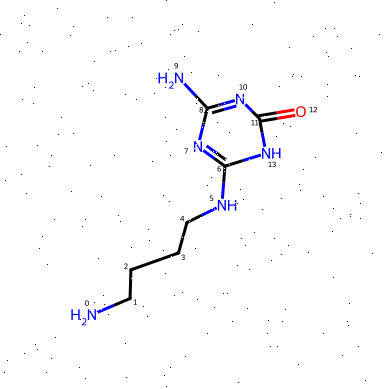 NCCCCNc1nc(N)nc(=O)[nH]1